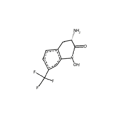 N[C@H]1Cc2ccc(C(F)(F)F)cc2N(O)C1=O